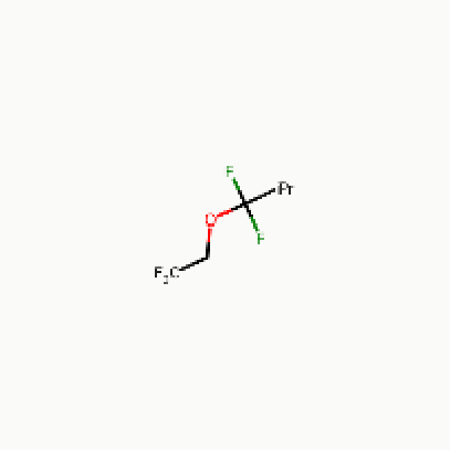 CC(C)C(F)(F)OCC(F)(F)F